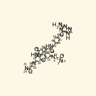 CN(C)C(=O)C1CN(c2ccc3c(c2)Oc2cc(N4CC(C(=O)N(C)C)C4)ccc2C32C(=N)C(=O)c3ccc(C(=O)NCc4ccc(COc5nc(N)nc6nc[nH]c56)cc4)cc32)C1